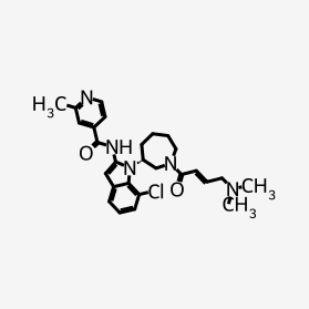 Cc1cc(C(=O)Nc2cc3cccc(Cl)c3n2[C@@H]2CCCCN(C(=O)/C=C/CN(C)C)C2)ccn1